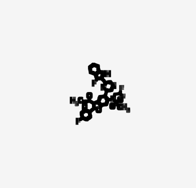 CNC(=O)c1c(-c2ccc(F)cc2)oc2cc(N(CC(F)F)S(C)(=O)=O)c(-c3cncc(-c4[nH]c5ccccc5c4F)n3)cc12